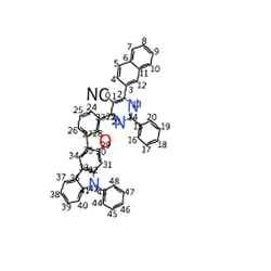 N#Cc1c(-c2ccc3ccccc3c2)nc(-c2ccccc2)nc1-c1cccc2c1oc1cc3c(cc12)c1ccccc1n3-c1ccccc1